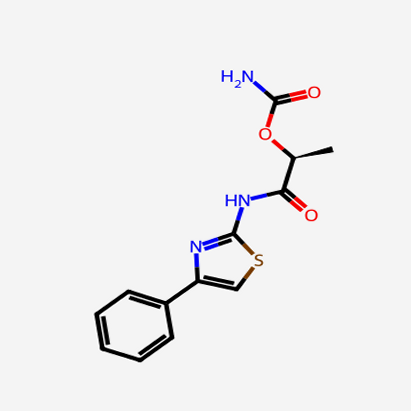 C[C@H](OC(N)=O)C(=O)Nc1nc(-c2ccccc2)cs1